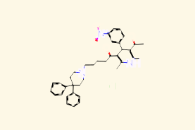 CC(=O)C1=C(C)NC(C)=C(C(=O)CCCCN2CCC(c3ccccc3)(c3ccccc3)CC2)C1c1cccc([N+](=O)[O-])c1.Cl